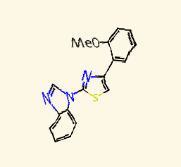 COc1ccccc1-c1csc(-n2cnc3ccccc32)n1